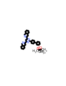 CC1(C)OB(c2cccc(-c3ccc(-c4nc(-c5cc6ccccc6cn5)cc(-c5cc6ccccc6cn5)n4)cc3)c2)OC1(C)C